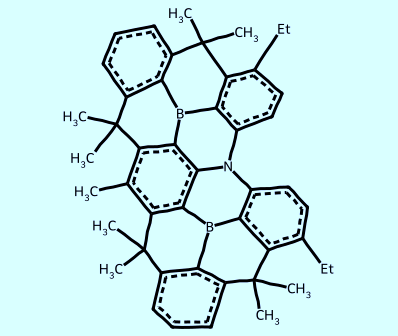 CCc1ccc2c3c1C(C)(C)c1cccc4c1B3c1c3c5c(c(C)c1C4(C)C)C(C)(C)c1cccc4c1B5c1c(ccc(CC)c1C4(C)C)N23